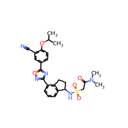 CC(C)Oc1ccc(-c2nc(-c3cccc4c3CCC4NS(=O)(=O)CC(=O)N(C)C)no2)cc1C#N